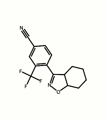 N#Cc1ccc(C2=NOC3CCCCC23)c(C(F)(F)F)c1